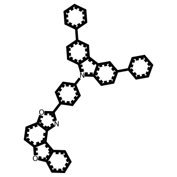 c1ccc(-c2ccc3c(c2)c2cc(-c4ccccc4)ccc2n3-c2ccc(-c3nc4c(ccc5oc6ccccc6c54)o3)cc2)cc1